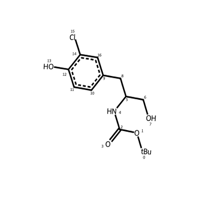 CC(C)(C)OC(=O)NC(CO)Cc1ccc(O)c(Cl)c1